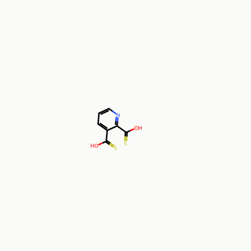 OC(=S)c1cccnc1C(O)=S